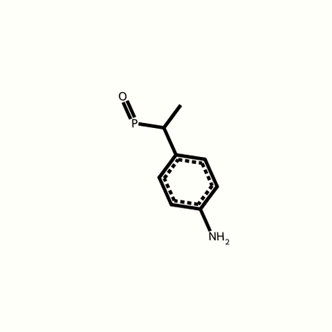 CC(P=O)c1ccc(N)cc1